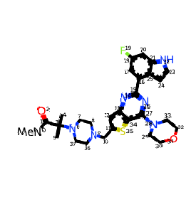 CNC(=O)C(C)(C)N1CCN(Cc2cc3nc(-c4cc(F)cc5[nH]ccc45)nc(N4CCOCC4)c3s2)CC1